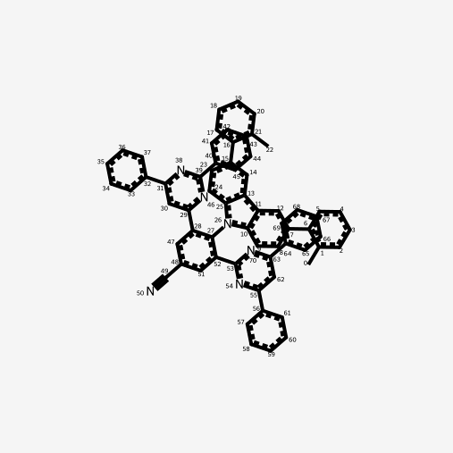 Cc1ccccc1-c1ccc2c(c1)c1cc(-c3ccccc3C)ccc1n2-c1c(-c2cc(-c3ccccc3)nc(-c3ccccc3)n2)cc(C#N)cc1-c1nc(-c2ccccc2)cc(-c2ccccc2)n1